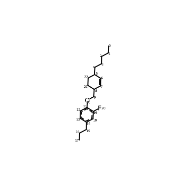 CCCCCC1C=CC(COc2ccc(CCC)cc2F)CC1